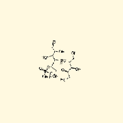 O=C(CO)C(O)C(O)CO.O=CC(O)C(O)C(O)C(CO)OP(=O)(O)O